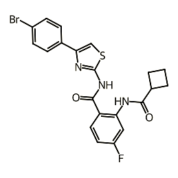 O=C(Nc1nc(-c2ccc(Br)cc2)cs1)c1ccc(F)cc1NC(=O)C1CCC1